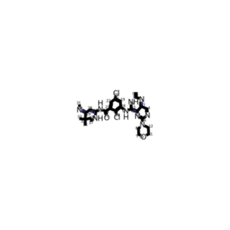 C=C/N=C1/C=NC(N2CCOCC2)=N/C1=C(/N)Nc1cc(Cl)cc(C(=O)N/C(=C/C(=N\C)C(C)(C)C)NC)c1Cl